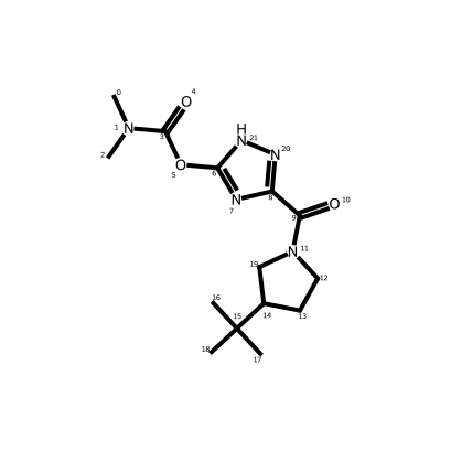 CN(C)C(=O)Oc1nc(C(=O)N2CCC(C(C)(C)C)C2)n[nH]1